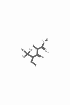 [2H]C([2H])([2H])C(CC)C(=O)C(C)C(=O)OC